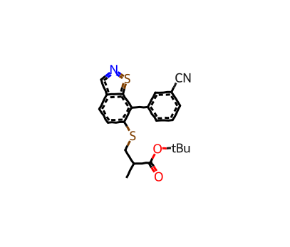 CC(CSc1ccc2cnsc2c1-c1cccc(C#N)c1)C(=O)OC(C)(C)C